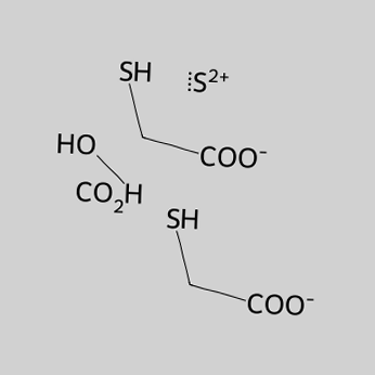 O=C(O)O.O=C([O-])CS.O=C([O-])CS.[S+2]